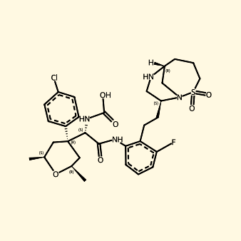 C[C@@H]1C[C@](c2ccc(Cl)cc2)([C@H](NC(=O)O)C(=O)Nc2cccc(F)c2CC[C@H]2CN[C@@H]3CCCS(=O)(=O)N2C3)C[C@H](C)O1